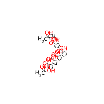 CC(C)(CO)CO.CC(CO)(CO)CO.O=C(O)c1ccccc1.O=C(O)c1ccccc1.O=C(O)c1ccccc1.O=C(O)c1ccccc1.O=C(O)c1ccccc1